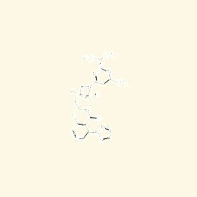 Cc1cc(N2C[C@@H]3CCN(C(=O)c4c(F)cccc4-n4nccn4)C[C@@H]32)nc(N(C)C)n1